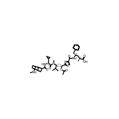 CNC12C3C4C1C1C2C3C41C(=O)N[C@H](C(=O)N(C)[C@H](C[C@@H](OC(C)=O)c1nc(C(=O)N[C@@H](Cc2ccccc2)C[C@H](C)C(=O)O)cs1)C(C)C)C1CC1